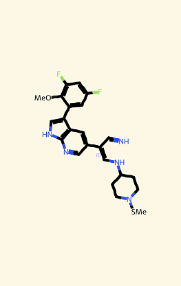 COc1c(F)cc(F)cc1-c1c[nH]c2ncc(/C(C=N)=C/NC3CCN(SC)CC3)cc12